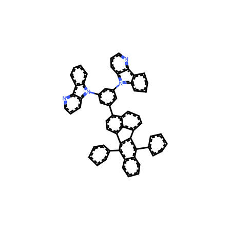 c1ccc(-c2c3c(c(-c4ccccc4)c4ccccc24)-c2ccc(-c4cc(-n5c6ccccc6c6ncccc65)cc(-n5c6ccccc6c6ncccc65)c4)c4cccc-3c24)cc1